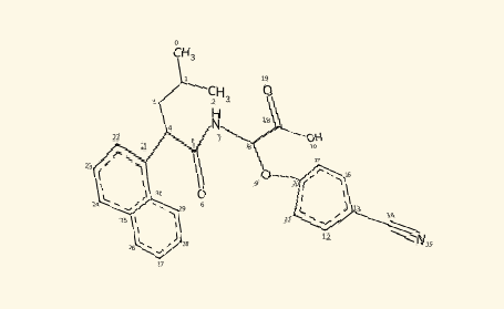 CC(C)CC(C(=O)NC(Oc1ccc(C#N)cc1)C(=O)O)c1cccc2ccccc12